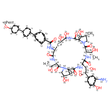 CCCCCOc1ccc(-c2ccc(-c3ccc(C(=O)N[C@H]4C[C@@H](O)[C@@H](O)NC(=O)[C@@H]5[C@@H](O)[C@@H](C)CN5C(=O)[C@H]([C@@H](C)O)NC(=O)[C@H]([C@H](O)[C@@H](O)c5ccc(O)c(N)c5)NC(=O)[C@@H]5C[C@@H](O)CN5C(=O)[C@H]([C@@H](C)O)NC4=O)cc3)cc2)cc1